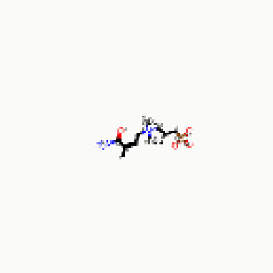 CCCC[N+](CC=C(C)C(N)=O)(CCCC)CCCS(=O)(=O)[O-]